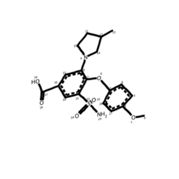 COc1ccc(Oc2c(N3CCC(C)C3)cc(C(=O)O)cc2S(N)(=O)=O)cc1